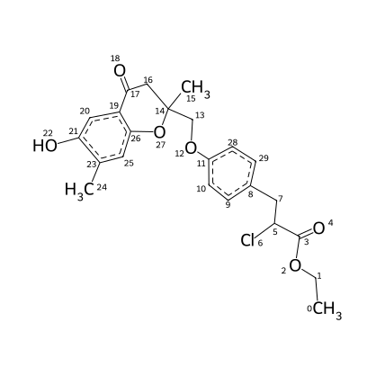 CCOC(=O)C(Cl)Cc1ccc(OCC2(C)CC(=O)c3cc(O)c(C)cc3O2)cc1